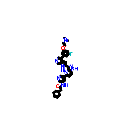 CN(C)CCOc1cc(F)cc(-c2cncc3[nH]c(-c4n[nH]c5ccc(-c6cncc(NC(=O)CC7CCCCC7)c6)nc45)cc23)c1